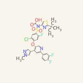 Cn1cc(-c2cc(-c3ccc(F)c(F)c3)ncc2Oc2cc(F)c(S(=O)(=O)N(C(=O)O)c3csc(C(C)(C)C)n3)cc2Cl)cn1